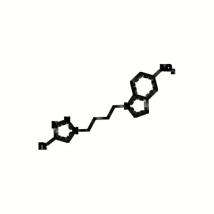 CCc1cn(CCCCn2ccc3cc([N+](=O)[O-])ccc32)nn1